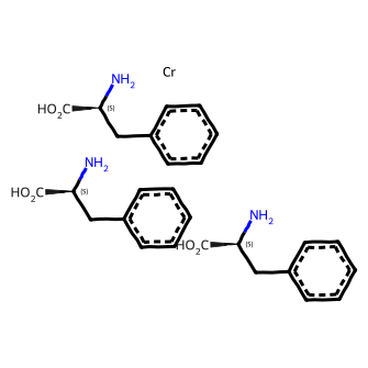 N[C@@H](Cc1ccccc1)C(=O)O.N[C@@H](Cc1ccccc1)C(=O)O.N[C@@H](Cc1ccccc1)C(=O)O.[Cr]